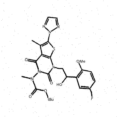 COc1ccc(F)cc1C(O)Cn1c(=O)n(N(C)C(=O)OC(C)(C)C)c(=O)c2c(C)c(-n3nccn3)sc21